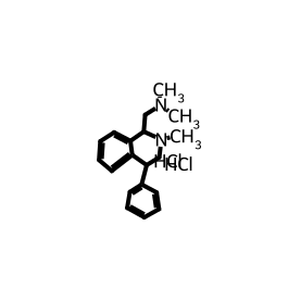 CN(C)CC1c2ccccc2C(c2ccccc2)CN1C.Cl.Cl